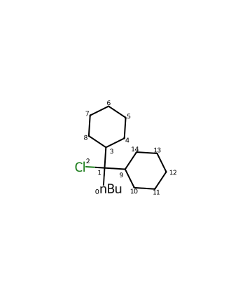 CCCCC(Cl)(C1CCCCC1)C1CCCCC1